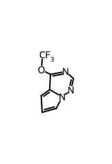 FC(F)(F)Oc1ncnn2cccc12